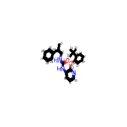 CC(CNC(=O)Nc1cccnc1Oc1ccccc1C(C)(C)C)c1ccccc1